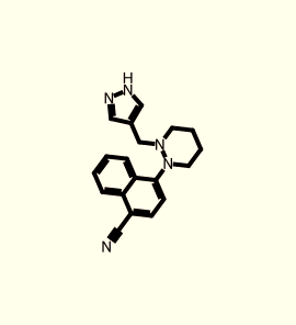 N#Cc1ccc(N2CCCCN2Cc2cn[nH]c2)c2ccccc12